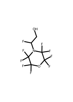 OCC(F)N1C(F)(F)C(F)(F)OC(F)(F)C1(F)F